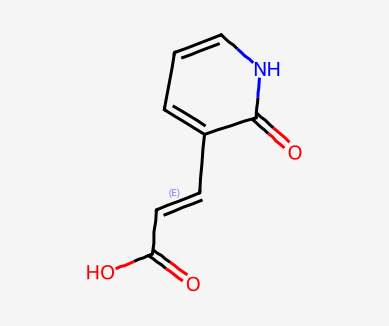 O=C(O)/C=C/c1ccc[nH]c1=O